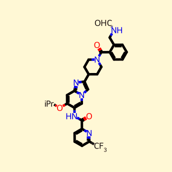 CC(C)Oc1cc2nc(C3CCN(C(=O)c4ccccc4CNC=O)CC3)cn2cc1NC(=O)c1cccc(C(F)(F)F)n1